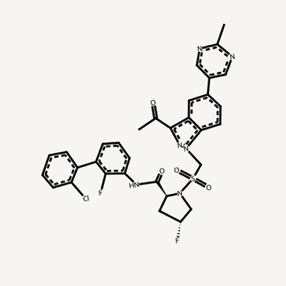 CC(=O)c1nn(CS(=O)(=O)N2C[C@H](F)C[C@H]2C(=O)Nc2cccc(-c3ccccc3Cl)c2F)c2ccc(-c3cnc(C)nc3)cc12